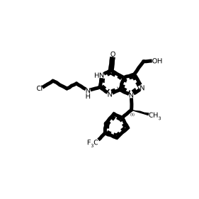 C[C@@H](c1ccc(C(F)(F)F)cc1)n1nc(CO)c2c(=O)[nH]c(NCCCCl)nc21